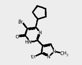 CCc1nn(C)cc1-c1nc(C2CCCC2)c(Br)c(=O)[nH]1